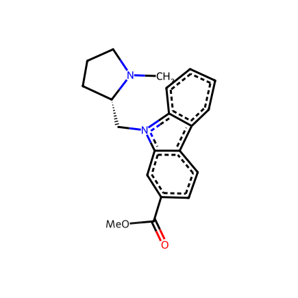 COC(=O)c1ccc2c3ccccc3n(C[C@@H]3CCCN3C)c2c1